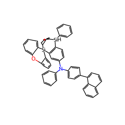 c1ccc(N(c2ccc(-c3cccc4ccccc34)cc2)c2ccc3c(c2)[Si]2(c4ccccc4Oc4ccccc42)c2ccccc2[SiH]3c2ccccc2)cc1